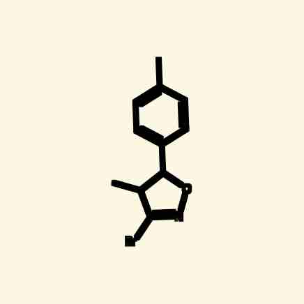 Cc1ccc(C2ON=C(Br)C2C)cc1